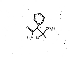 CCC(C)(C(=O)O)C(C(N)=O)c1ccccc1